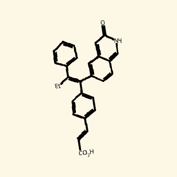 CCC(=C(c1ccc(C=CC(=O)O)cc1)c1ccc2c[nH]c(=O)cc2c1)c1ccccc1